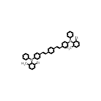 CCc1cccc(C)c1N(c1ccccc1)c1ccc(/C=C/c2ccc(/C=C/c3ccc(N(c4ccccc4)c4c(C)cccc4CC)cc3)cc2)cc1